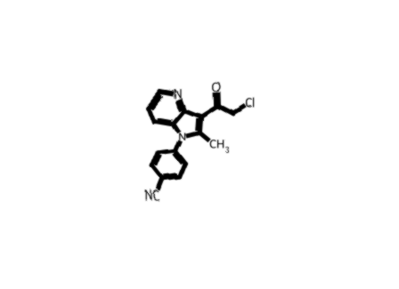 Cc1c(C(=O)CCl)c2ncccc2n1-c1ccc(C#N)cc1